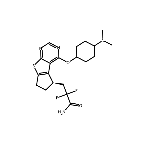 CN(C)C1CCC(Oc2ncnc3sc4c(c23)[C@@H](CC(F)(F)C(N)=O)CC4)CC1